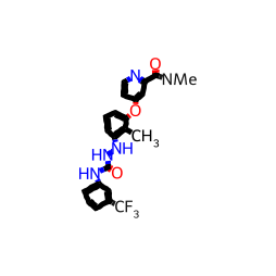 CNC(=O)c1cc(Oc2cccc(NNC(=O)Nc3cccc(C(F)(F)F)c3)c2C)ccn1